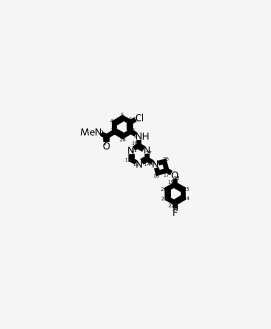 CNC(=O)c1ccc(Cl)c(Nc2ncnc(N3CC(Oc4ccc(F)cc4)C3)n2)c1